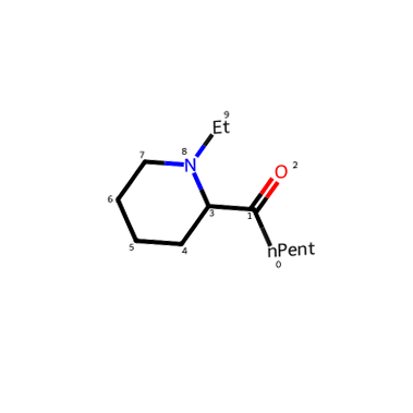 CCCCCC(=O)C1CCCCN1CC